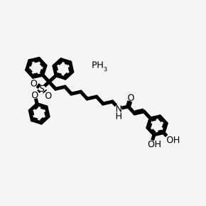 O=C(/C=C/c1ccc(O)c(O)c1)NCCCCCCCCC(c1ccccc1)(c1ccccc1)S(=O)(=O)Oc1ccccc1.P